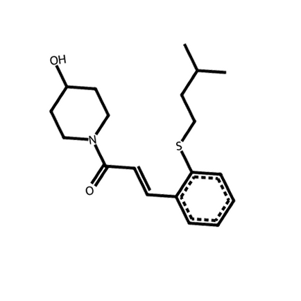 CC(C)CCSc1ccccc1C=CC(=O)N1CCC(O)CC1